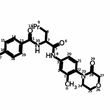 Cc1cc(NC(=O)C(CC(C)C)NC(=O)c2ccc(Cl)cc2)ccc1N1CCOCC1=O